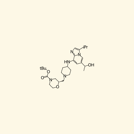 CC(C)c1cnc2c(NC3CCN(C[C@@H]4CN(C(=O)OC(C)(C)C)CCO4)CC3)cc(C(C)O)cn12